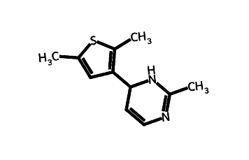 CC1=NC=CC(c2cc(C)sc2C)N1